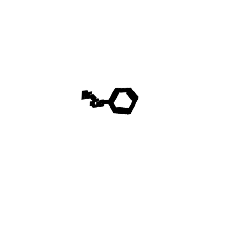 [Br][Ge][c]1ccccc1